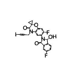 O=C1c2cc(F)ccc2C(O)N1c1cc2c(cc1F)OC1(CC1)C(=O)N2CC#CI